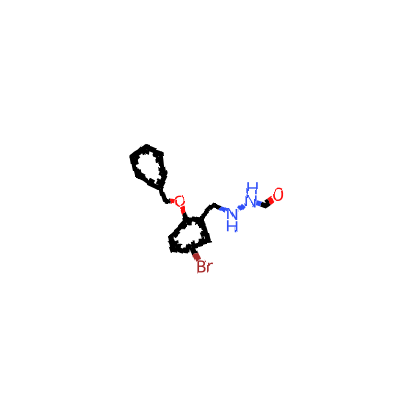 O=CNNCc1cc(Br)ccc1OCc1ccccc1